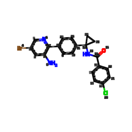 Nc1cc(Br)cnc1-c1ccc(C2(NC(=O)c3ccc(Cl)cc3)CC2)cc1